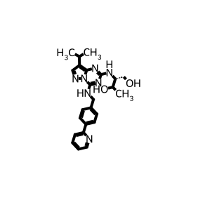 CC(C)c1cnn2c(NCc3ccc(-c4ccccn4)cc3)nc(N[C@H](CO)C(C)O)nc12